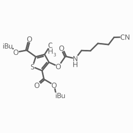 CCC(C)OC(=O)c1sc(C(=O)OC(C)CC)c(OC(=O)NCCCCCC#N)c1C